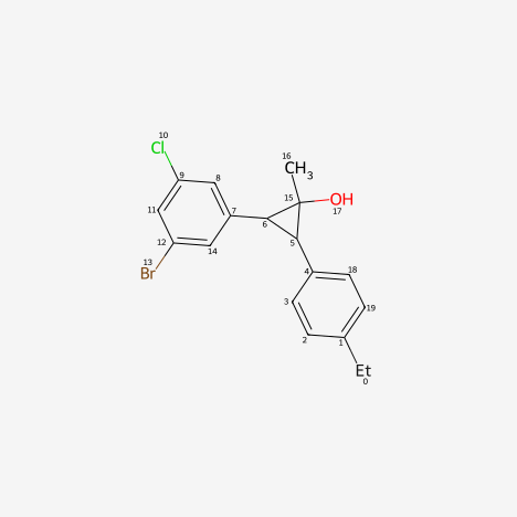 CCc1ccc(C2C(c3cc(Cl)cc(Br)c3)C2(C)O)cc1